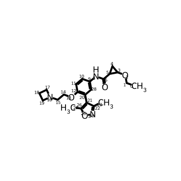 CCOC1CC1C(=O)Nc1ccc(OCCN2CCC2)c(-c2c(C)noc2C)c1